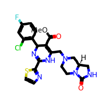 COC(=O)C1=C(CN2CCN3C(=O)NC[C@@H]3C2)NC(c2nccs2)=NC1c1ccc(F)cc1Cl